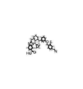 N#Cc1ccc(COc2cccc(C[C@@H]3CCCN(Cc4nc5ccc(C(=O)O)cc5n4C[C@@H]4CCO4)C3)n2)c(F)c1